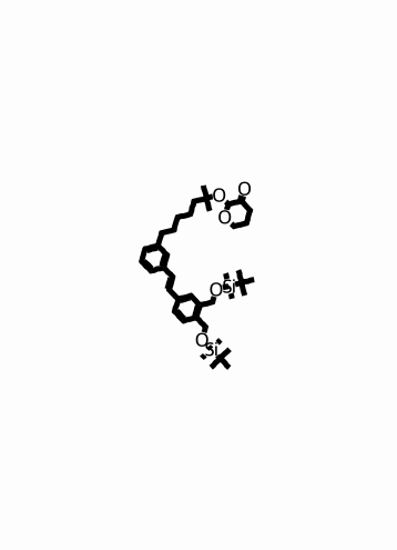 CC(C)(CCCCCc1cccc(C=Cc2ccc(CO[Si](C)(C)C(C)(C)C)c(CO[Si](C)(C)C(C)(C)C)c2)c1)OC1OCCCC1=O